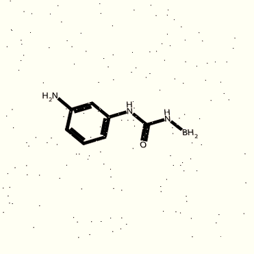 BNC(=O)Nc1cccc(N)c1